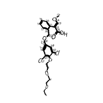 CCOCCOCCOc1c(Cl)cc(OCc2ccccc2/C(=C\OC)C(=O)O)cc1Cl